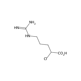 N=C(N)NCCCC(Cl)C(=O)O